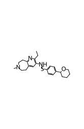 CCc1nc2c(cc1NSc1ccc(C3CCCCO3)cc1)CCN(C)CC2